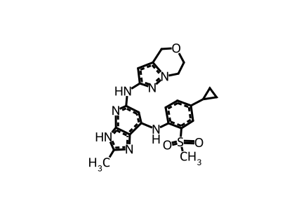 Cc1nc2c(Nc3ccc(C4CC4)cc3S(C)(=O)=O)cc(Nc3cc4n(n3)CCOC4)nc2[nH]1